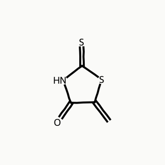 C=C1SC(=S)NC1=O